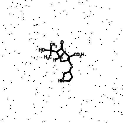 CC(C)(O)C1C(=O)N2C(C(=O)O)=C(SC3CCNC3)C[C@H]12